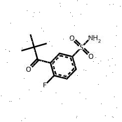 CC(C)(C)C(=O)c1cc(S(N)(=O)=O)ccc1F